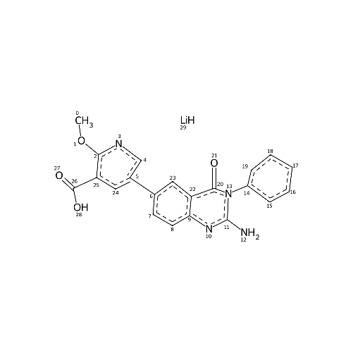 COc1ncc(-c2ccc3nc(N)n(-c4ccccc4)c(=O)c3c2)cc1C(=O)O.[LiH]